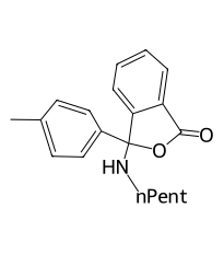 CCCCCNC1(c2ccc(C)cc2)OC(=O)c2ccccc21